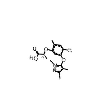 Cc1cc(Cl)c(Oc2c(C)c(C)nn2C)cc1O[C@@H](C)C(=O)O